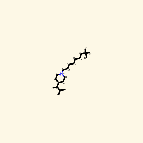 CC(C)C(C)C1CCN(CCCCCCCC(C)(C)C)CC1